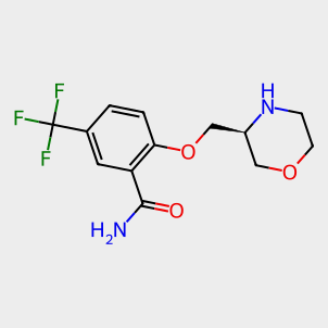 NC(=O)c1cc(C(F)(F)F)ccc1OC[C@@H]1COCCN1